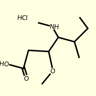 CCC(C)C(NC)C(CC(=O)O)OC.Cl